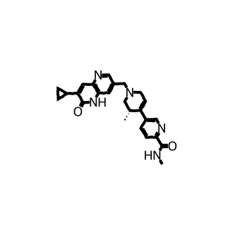 CNC(=O)c1ccc(C2=CCN(Cc3cnc4cc(C5CC5)c(=O)[nH]c4c3)C[C@H]2C)cn1